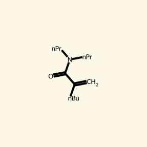 C=C(CCCC)C(=O)N(CCC)CCC